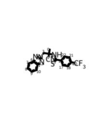 CC(C#N)(Cn1nc2ccccc2n1)NC(=S)c1ccc(C(F)(F)F)cc1